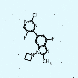 Cc1nc2c(F)cc(-c3nc(Cl)ncc3F)cc2n1N1CCC1